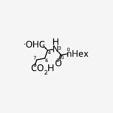 CCCCCCC(=O)N[C@H]([C]=O)CCC(=O)O